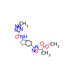 CCOC(=O)C(C)c1nc(-c2ccc3c(c2)CC[C@H]3NC(=O)c2nnn(C)n2)no1